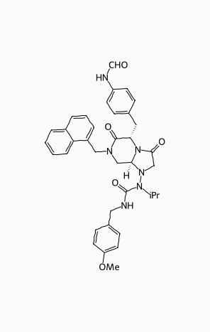 COc1ccc(CNC(=O)N(C(C)C)N2CC(=O)N3[C@@H](Cc4ccc(NC=O)cc4)C(=O)N(Cc4cccc5ccccc45)C[C@@H]32)cc1